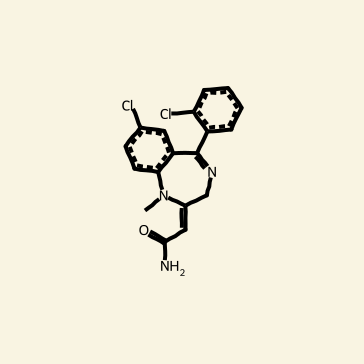 CN1C(=CC(N)=O)CN=C(c2ccccc2Cl)c2cc(Cl)ccc21